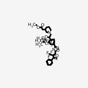 CCOC(=O)CC1CCCN(CC(O[Si](C)(C)C(C)(C)C)c2ccc(-c3noc(-c4onc(-c5ccccc5)c4C(F)(F)F)n3)cc2)C1